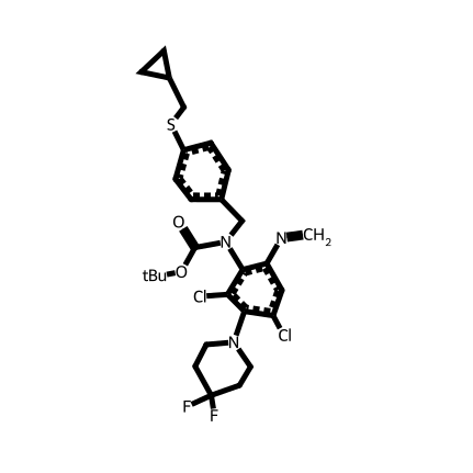 C=Nc1cc(Cl)c(N2CCC(F)(F)CC2)c(Cl)c1N(Cc1ccc(SCC2CC2)cc1)C(=O)OC(C)(C)C